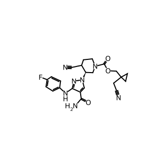 N#CCC1(COC(=O)N2CCC(C#N)[C@H](n3cc(C(N)=O)c(Nc4ccc(F)cc4)n3)C2)CC1